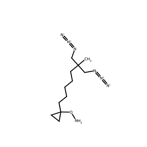 CC(CCCCCC1(ON)CC1)(CN=[N+]=[N-])CN=[N+]=[N-]